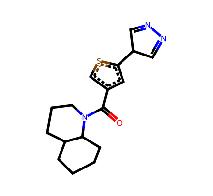 O=C(c1csc(C2C=NN=C2)c1)N1CCCC2CCCCC21